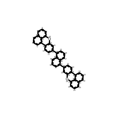 c1cc2c3c(cccc3c1)-c1ccc(-c3cccc4c(-c5ccc6c(c5)Oc5cccc7cccc-6c57)cccc34)cc1O2